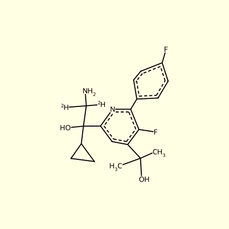 [2H]C([2H])(N)C(O)(c1cc(C(C)(C)O)c(F)c(-c2ccc(F)cc2)n1)C1CC1